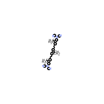 CC1(C)c2cc(/C=C/c3ccc4c(c3)C(C)(C)c3cc(N(c5ccncc5)c5cccnc5)ccc3-4)ccc2-c2ccc(/C=C/c3ccc4c(c3)C(C)(C)c3cc(N(c5ccncc5)c5cccnc5)ccc3-4)cc21